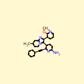 COc1ncccc1-c1nc2cc(C)ccn2c1-c1ccc(N)nc1C#Cc1ccccc1